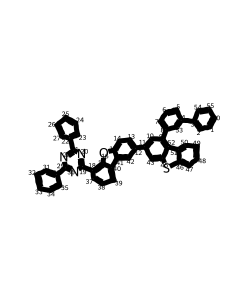 c1ccc(-c2cccc(-c3cc(-c4ccc5oc6c(-c7nc(-c8ccccc8)nc(-c8ccccc8)n7)cccc6c5c4)cc4sc5ccccc5c34)c2)cc1